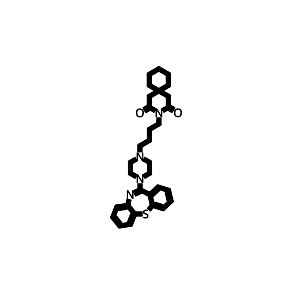 O=C1CC2(CCCCC2)CC(=O)N1CCCCN1CCN(C2=Nc3ccccc3Sc3ccccc32)CC1